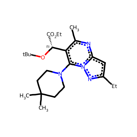 CCOC(=O)[C@@H](OC(C)(C)C)c1c(C)nc2cc(CC)nn2c1N1CCC(C)(C)CC1